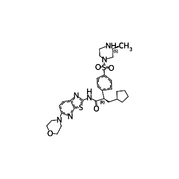 C[C@H]1CN(S(=O)(=O)c2ccc([C@@H](CC3CCCC3)C(=O)Nc3nc4ccc(N5CCOCC5)nc4s3)cc2)CCN1